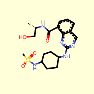 C[C@@H](CO)NC(=O)c1cccc2cnc(NC3CCC(NS(C)(=O)=O)CC3)nc12